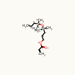 C=CC(=O)OCCC[Si](C)(C)O[Si](C)(C)CCC